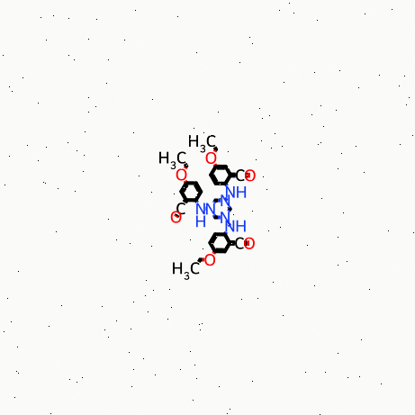 CCOC1=CC(=C=O)C(NN2CN(NC3C=CC(OCC)=CC3=C=O)CN(NC3C=CC(OCC)=CC3=C=O)C2)C=C1